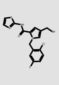 CC(C)Cc1cc(C(=O)Nc2nccs2)n(Cc2cc(F)ccc2Cl)c1